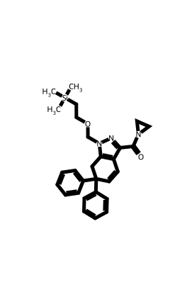 C[Si](C)(C)CCOCn1nc(C(=O)N2CC2)c2c1CC(c1ccccc1)(c1ccccc1)C=C2